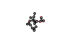 c1ccc(-c2ccc(-c3cc(-c4cccc(-n5c6ccccc6c6cc(-c7ccc8c9ccccc9n(-c9ccccc9)c8c7)ccc65)c4)nc(-n4c5ccccc5c5cc(-c6ccc7c8ccccc8n(-c8ccccc8)c7c6)ccc54)n3)c(-c3ccccc3)c2)cc1